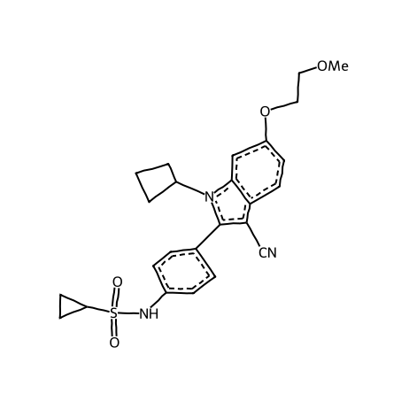 COCCOc1ccc2c(C#N)c(-c3ccc(NS(=O)(=O)C4CC4)cc3)n(C3CCC3)c2c1